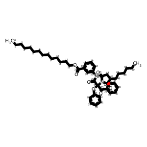 CCCCCCCCCCCCCCOC(=O)c1cccc(NC(=O)C(Oc2ccccc2)(C(=O)c2ccccc2)N2C(=O)CC(CCCCCC)C2=O)c1